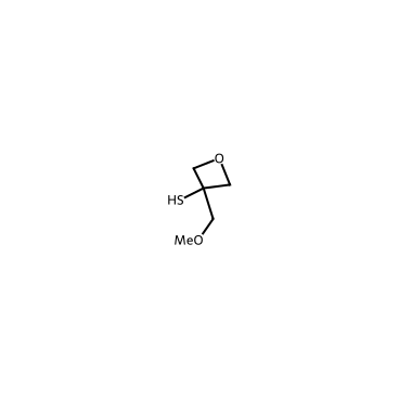 COCC1(S)COC1